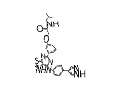 CC(C)CNC(=O)COc1cccc(-c2nc(Nc3ccc(-c4cn[nH]c4)cc3)c3ncsc3n2)c1